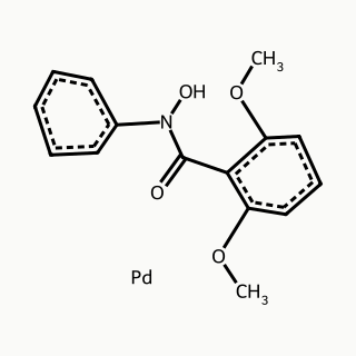 COc1cccc(OC)c1C(=O)N(O)c1ccccc1.[Pd]